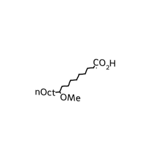 CCCCCCCCC(CCCCCCC[CH]C(=O)O)OC